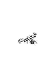 Cc1ccccc1Oc1cc2cnc(Nc3ccc(N4CCN5CCCC5C4)cc3)nc2n(Cc2scnc2S(=O)(=O)C2CCCC2)c1=O